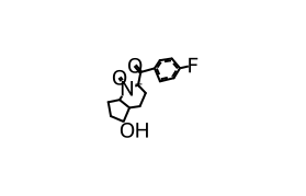 O=C(c1ccc(F)cc1)C1CCC2C(O)CCC2[N+]1=O